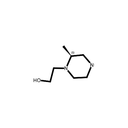 C[C@H]1C[N]CCN1CCO